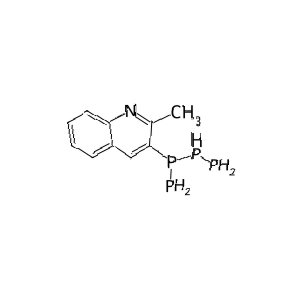 Cc1nc2ccccc2cc1P(P)PP